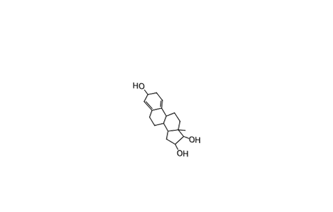 CC12CCC3C4=CCC(O)C=C4CCC3C1CC(O)C2O